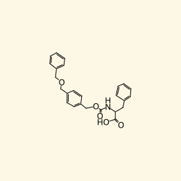 O=C(NC(Cc1ccccc1)C(=O)O)OCc1ccc(COCc2ccccc2)cc1